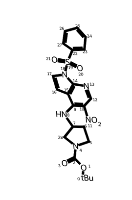 CC(C)(C)OC(=O)N1CCC(Nc2c([N+](=O)[O-])cnc3c2ccn3S(=O)(=O)c2ccccc2)C1